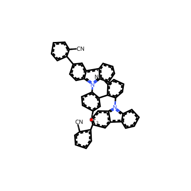 N#Cc1ccccc1-c1ccc2c(c1)c1ccccc1n2-c1ccc(C(F)(F)F)cc1-c1c(C#N)cccc1-n1c2ccccc2c2cc(-c3ccccc3C#N)ccc21